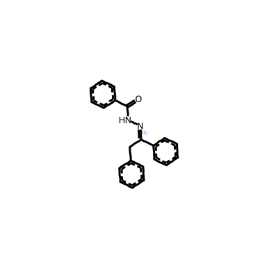 O=C(N/N=C(\Cc1ccccc1)c1ccccc1)c1ccccc1